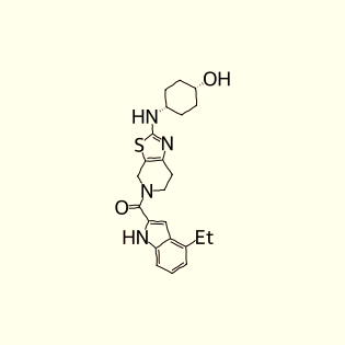 CCc1cccc2[nH]c(C(=O)N3CCc4nc(N[C@H]5CC[C@@H](O)CC5)sc4C3)cc12